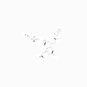 O.O=C(O)CN(CCN(CC(=O)O)CC(=O)O)CC(=O)O.O=P([O-])(O)O.[Cl-].[Cl-].[Cl-].[Na+].[Na+].[Na+].[Na+]